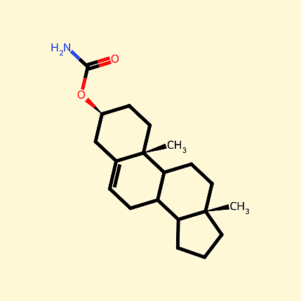 C[C@@]12CCCC1C1CC=C3C[C@@H](OC(N)=O)CC[C@]3(C)C1CC2